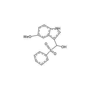 COc1ccc2[nH]cc(C(O)S(=O)(=O)c3ccccc3)c2c1